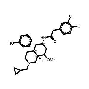 COC1C[C@@H](NC(=O)Cc2ccc(Cl)c(Cl)c2)C[C@]2(c3cccc(O)c3)CCN(CC3CC3)C[C@@H]12